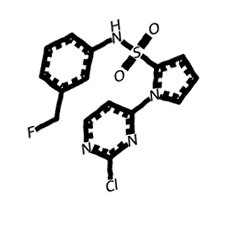 O=S(=O)(Nc1cccc(CF)c1)c1cccn1-c1ccnc(Cl)n1